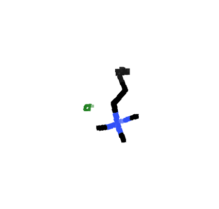 CCCCCC[N+](C)(C)C.[Cl-]